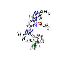 COc1nc(-c2nc(C(C)c3ccccc3C(F)(F)F)n(C)n2)ccc1-n1cnc(C)c1